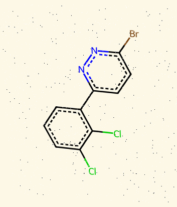 Clc1cccc(-c2ccc(Br)nn2)c1Cl